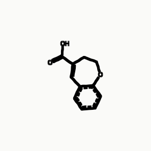 O=C(O)C1=Cc2ccccc2OCC1